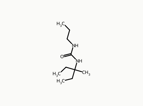 CCCNC(=O)NC(C)(CC)CC